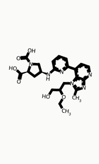 CCOC(CO)Cn1c(C)nc2nccc(-c3cccc(N[C@H]4C[C@@H](C(=O)O)N(C(=O)O)C4)n3)c21